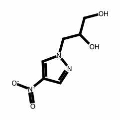 O=[N+]([O-])c1cnn(CC(O)CO)c1